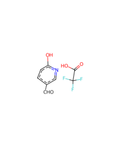 O=C(O)C(F)(F)F.O=Cc1ccc(O)nc1